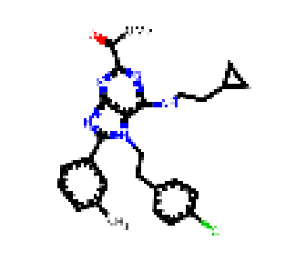 COC(=O)c1nc(NCCC2CC2)c2c(n1)nc(-c1cccc(C)c1)n2CCc1ccc(Cl)cc1